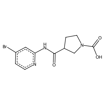 O=C(Nc1cc(Br)ccn1)C1CCN(C(=O)O)C1